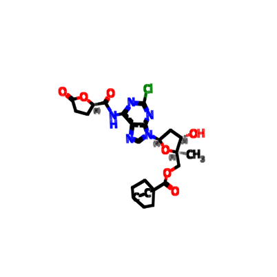 C[C@]1(COC(=O)C23CCC(CC2)CC3)O[C@@H](n2cnc3c(NC(=O)[C@H]4CCC(=O)O4)nc(Cl)nc32)C[C@@H]1O